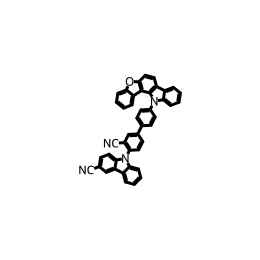 N#Cc1ccc2c(c1)c1ccccc1n2-c1ccc(-c2ccc(-n3c4ccccc4c4ccc5oc6ccccc6c5c43)cc2)cc1C#N